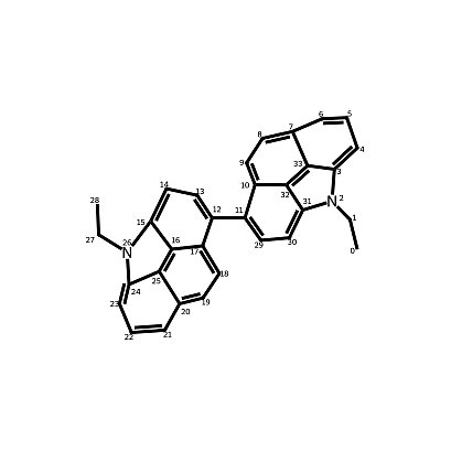 CCn1c2cccc3ccc4c(-c5ccc6c7c5ccc5cccc(c57)n6CC)ccc1c4c32